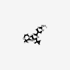 CC1(c2nc(-c3cnc(N)nc3)nc3c2NC2N3CCOC2(C)C)CC1